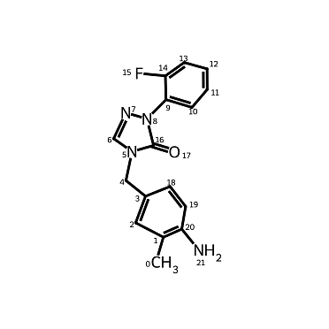 Cc1cc(Cn2cnn(-c3ccccc3F)c2=O)ccc1N